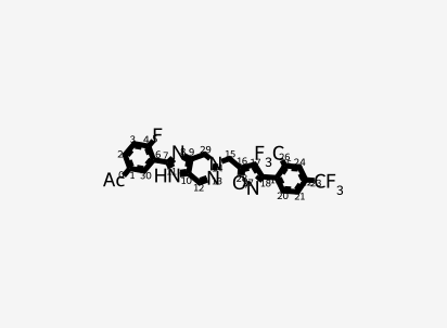 CC(=O)c1ccc(F)c(-c2nc3c([nH]2)C=NN(Cc2cc(-c4ccc(C(F)(F)F)cc4C(F)(F)F)no2)C3)c1